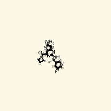 C[C@H](Nc1nc(C(=O)N2CCC2)c2sc(N)cc2n1)c1cncc(F)c1